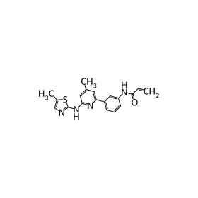 C=CC(=O)Nc1cccc(-c2cc(C)cc(Nc3ncc(C)s3)n2)c1